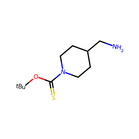 CC(C)(C)OC(=S)N1CCC(CN)CC1